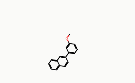 COc1cccc(-c2[c]c3ccccc3cc2)c1